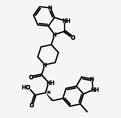 Cc1cc(C[C@@H](NC(=O)N2CCC(n3c(=O)[nH]c4ncccc43)CC2)C(=O)O)cc2cn[nH]c12